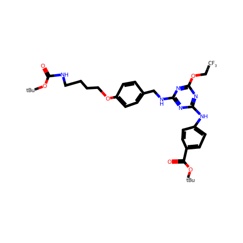 CC(C)(C)OC(=O)NCCCCOc1ccc(CNc2nc(Nc3ccc(C(=O)OC(C)(C)C)cc3)nc(OCC(F)(F)F)n2)cc1